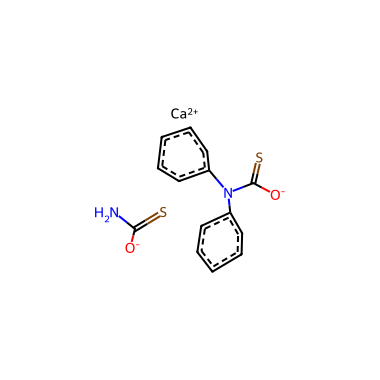 NC([O-])=S.[Ca+2].[O-]C(=S)N(c1ccccc1)c1ccccc1